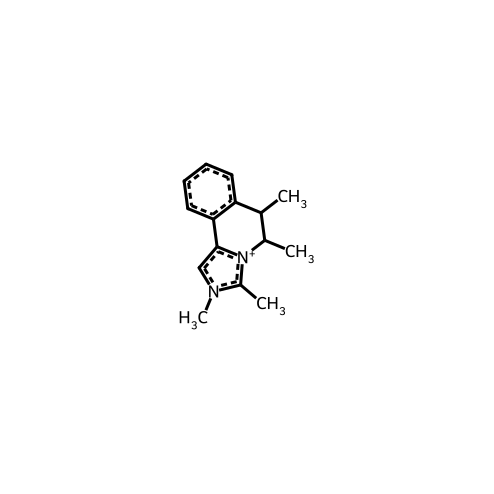 Cc1n(C)cc2[n+]1C(C)C(C)c1ccccc1-2